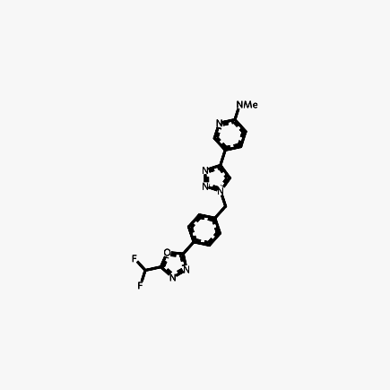 CNc1ccc(-c2cn(Cc3ccc(-c4nnc(C(F)F)o4)cc3)nn2)cn1